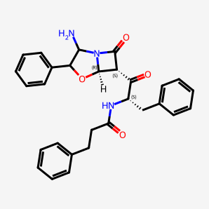 NC1C(c2ccccc2)O[C@@H]2[C@@H](C(=O)[C@H](Cc3ccccc3)NC(=O)CCc3ccccc3)C(=O)N12